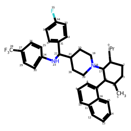 CC(C)C1CCC(C)C(c2cccc3ccccc23)C1N1CCC(C(Nc2ccc(C(F)(F)F)cc2)c2ccc(F)cc2)CC1